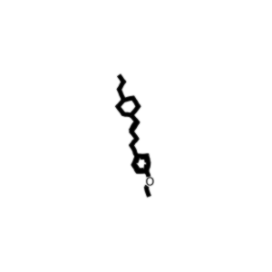 CCCC1CCC(C=CCCc2ccc(OCC)cc2)CC1